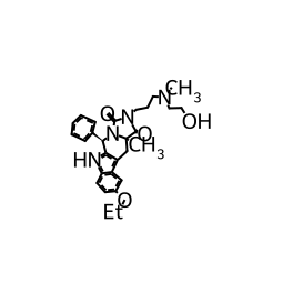 CCOc1ccc2[nH]c3c(c2c1)C[C@@]1(C)C(=O)N(CCCN(C)CCO)C(=O)N1[C@@H]3c1ccccc1